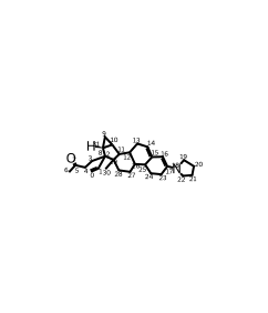 C=CC1(CCC(C)=O)[C@@H]2CC2C2C3CC=C4C=C(N5CCCC5)CCC4C3CCC21C